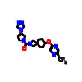 O=C(N1CC[C@H](n2cnnc2)C1)N1CC2(CCC(Oc3cnc(C(F)(F)F)cn3)CC2)C1